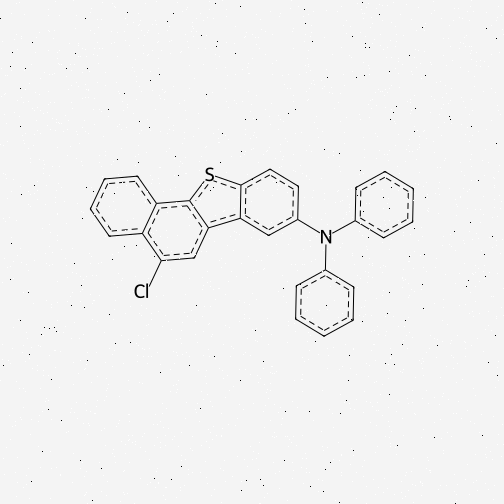 Clc1cc2c3cc(N(c4ccccc4)c4ccccc4)ccc3sc2c2ccccc12